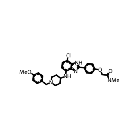 CNC(=O)COc1ccc(-c2nc3c(NC4CCN(Cc5ccc(OC)cc5)CC4)ccc(Cl)c3[nH]2)cc1